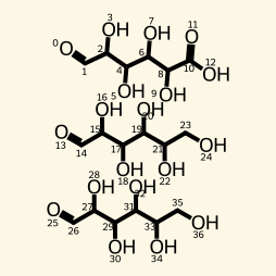 O=CC(O)C(O)C(O)C(O)C(=O)O.O=CC(O)C(O)C(O)C(O)CO.O=CC(O)C(O)C(O)C(O)CO